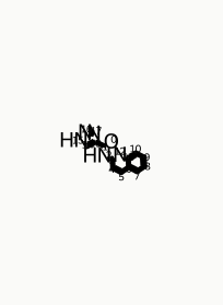 O=C(Nc1ccc2ccccc2n1)c1c[nH]nn1